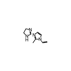 C1=NCCN1.C=Cn1ccnc1C